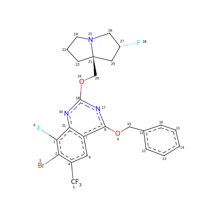 Fc1c(Br)c(C(F)(F)F)cc2c(OCc3ccccc3)nc(OC[C@@]34CCCN3C[C@H](F)C4)nc12